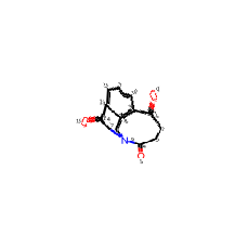 O=C1CCC(=O)N2Cc3c1cccc3C2=O